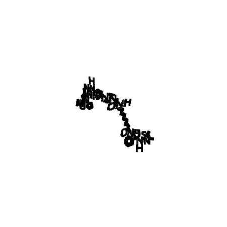 Cc1nc(NC(=O)c2ccccc2NC(=O)CCCCCCCCNC(=O)CN2CCN(c3ccc(Nc4ncc5cc(C(=O)N(C)C)n(C6CCCC6)c5n4)nc3)CC2)sc1C